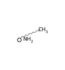 CCCCCCCCCC(N)Cc1ccccc1